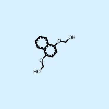 OCOc1ccc(OCO)c2ccccc12